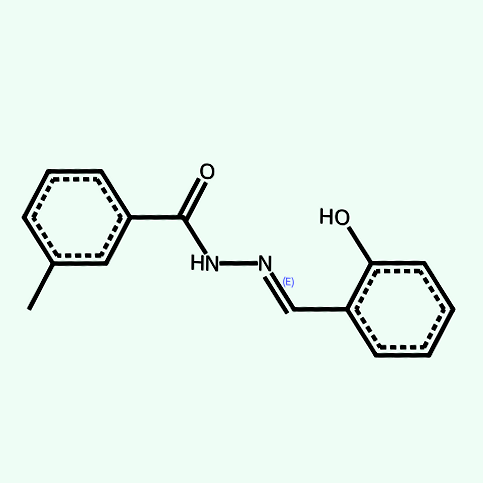 Cc1cccc(C(=O)N/N=C/c2ccccc2O)c1